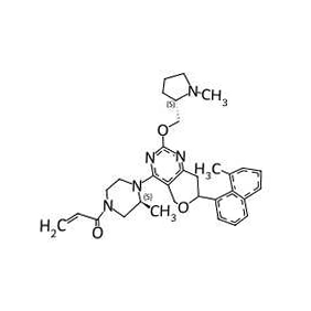 C=CC(=O)N1CCN(c2nc(OC[C@@H]3CCCN3C)nc3c2COC(c2cccc4cccc(C)c24)C3)[C@@H](C)C1